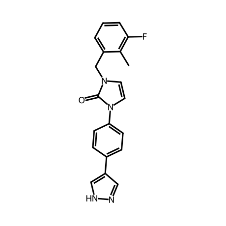 Cc1c(F)cccc1Cn1ccn(-c2ccc(-c3cn[nH]c3)cc2)c1=O